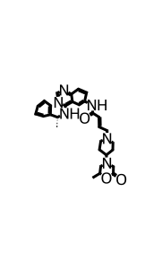 CC1CN(C2CCN(C/C=C/C(=O)Nc3ccc4ncnc(N[C@H](C)c5ccccc5)c4c3)CC2)CC(=O)O1